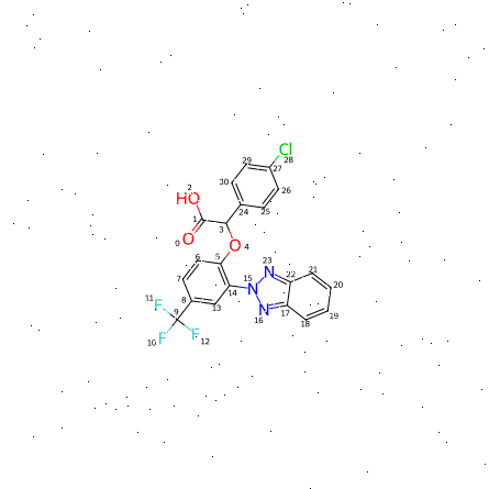 O=C(O)C(Oc1ccc(C(F)(F)F)cc1-n1nc2ccccc2n1)c1ccc(Cl)cc1